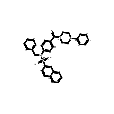 O=C(c1ccc(N(Cc2ccccc2)S(=O)(=O)c2ccc3ccccc3c2)cc1)N1CCN(c2ccccc2)CC1